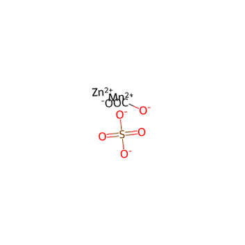 O=C([O-])[O-].O=S(=O)([O-])[O-].[Mn+2].[Zn+2]